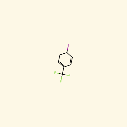 FC(F)(F)C1=CCC(I)C=C1